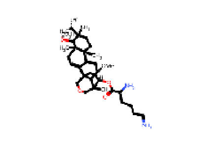 COC1CC23COCC(C)(C1OC(=O)C(N)CCCCN)[C@@H]2CCC1C3=CCC2(C)C(OC(=O)O)C(C)([C@H](C)C(C)C)CCC12C